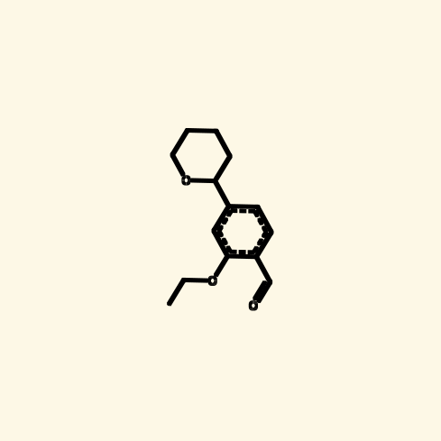 CCOc1cc(C2CCCCO2)ccc1C=O